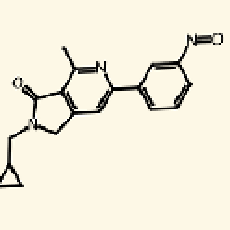 Cc1nc(-c2cccc(N=O)c2)cc2c1C(=O)N(CC1CC1)C2